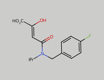 CC(C)N(Cc1ccc(F)cc1)C(=O)/C=C(\O)C(=O)O